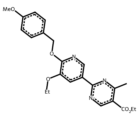 CCOC(=O)c1cnc(-c2cnc(OCc3ccc(OC)cc3)c(OCC)c2)nc1C